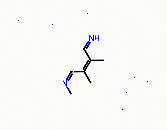 C/N=C\C(C)=C(\C)C=N